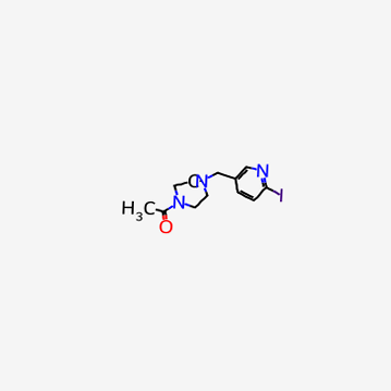 CC(=O)N1CCN(Cc2ccc(I)nc2)CC1